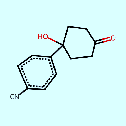 [C-]#[N+]c1ccc(C2(O)CCC(=O)CC2)cc1